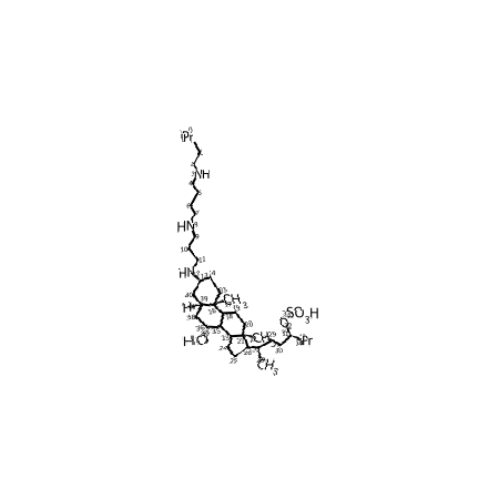 CC(C)CCNCCCCNCCCN[C@H]1CC[C@]2(C)C3CC[C@@]4(C)C(CC[C@@H]4[C@H](C)CC[C@@H](OS(=O)(=O)O)C(C)C)C3[C@H](O)C[C@@H]2C1